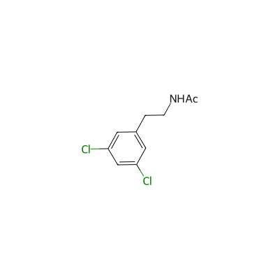 CC(=O)NCCc1cc(Cl)cc(Cl)c1